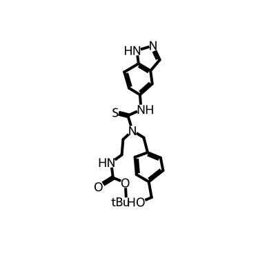 CC(C)(C)OC(=O)NCCN(Cc1ccc(CO)cc1)C(=S)Nc1ccc2[nH]ncc2c1